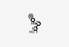 Oc1ncc(-c2cccnc2Nc2ccc(S(F)(F)(F)(F)F)cc2)cc1F